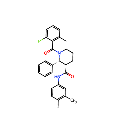 Cc1ccc(NC(=O)[C@H]2CCCN(C(=O)c3c(C)cccc3F)[C@H]2c2ccccc2)cc1C(F)(F)F